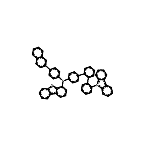 c1ccc(-c2ccccc2-n2c3ccccc3c3ccccc32)c(-c2ccc(N(c3ccc(-c4ccc5ccccc5c4)cc3)c3cccc4c3sc3ccccc34)cc2)c1